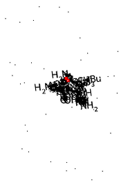 CN(C(=O)OCc1ccc(N)cc1)[C@@H](CSSC(C)(C)C)C(=O)O[C@H]1[C@@H](O)[C@H](n2cnc3c(N)ncnc32)O[C@@H]1COP(=O)(O)O[C@H]1[C@@H](CC2CCCO2)[C@H](n2ccc(N)nc2=O)O[C@@H]1COP(=O)(O)O